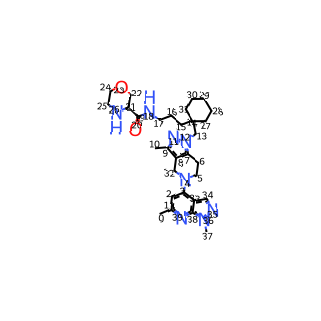 Cc1cc(N2CCc3c(c(C)nn3CC3(CCCNC(=O)[C@@H]4COCCN4)CCCCC3)C2)c2cnn(C)c2n1